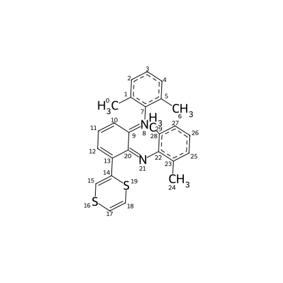 Cc1cccc(C)c1N=C1C=CC=C(C2=CSC=CS2)C1=Nc1c(C)cccc1C